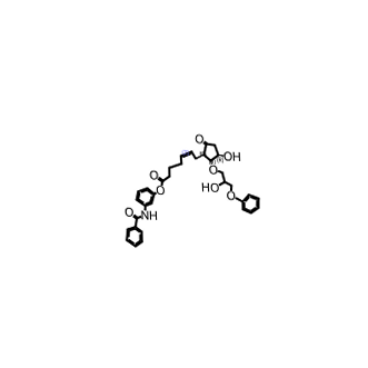 O=C(CCC/C=C\C[C@H]1C(=O)C[C@@H](O)[C@@H]1OCC(O)COc1ccccc1)Oc1cccc(NC(=O)c2ccccc2)c1